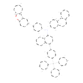 c1ccc(C(c2ccccc2)(c2ccccc2)c2ccc(-c3ccc(N(c4ccc(-c5ccc6oc7ccccc7c6c5)cc4)c4ccc5c(ccc6ccccc65)c4)c4ccccc34)cc2)cc1